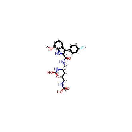 COc1cccc2c(-c3ccc(F)cc3)c(C(=O)NC[C@H](CCCNC(=O)O)NC(=O)O)[nH]c12